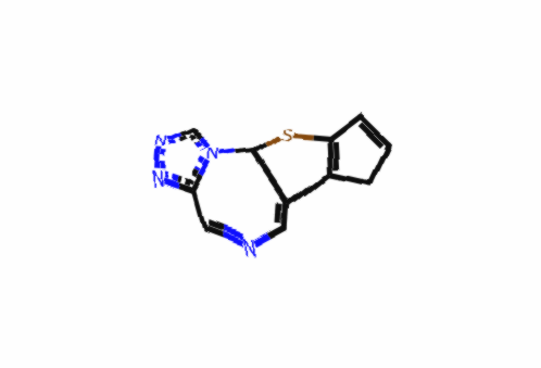 C1=CC2=C(C1)C1=CN=Cc3nncn3C1S2